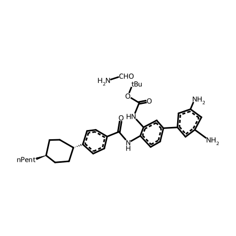 CCCCC[C@H]1CC[C@H](c2ccc(C(=O)Nc3ccc(-c4cc(N)cc(N)c4)cc3NC(=O)OC(C)(C)C)cc2)CC1.NC=O